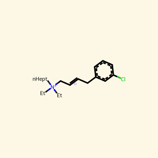 CCCCCCC[N+](CC)(CC)C/C=C/Cc1cccc(Cl)c1